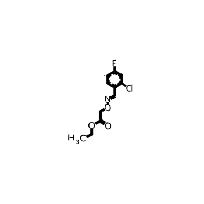 CCOC(=O)CON=Cc1c[c]c(F)cc1Cl